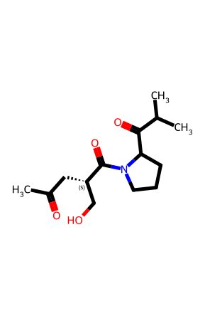 CC(=O)C[C@@H](CO)C(=O)N1CCCC1C(=O)C(C)C